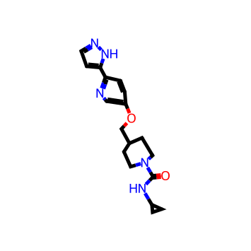 O=C(NC1CC1)N1CCC(COc2ccc(-c3ccn[nH]3)nc2)CC1